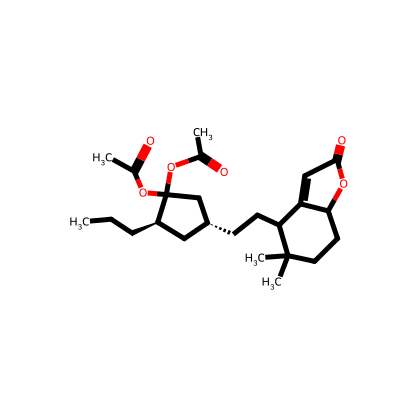 CCC[C@@H]1C[C@@H](CCC2C3=CC(=O)OC3CCC2(C)C)CC1(OC(C)=O)OC(C)=O